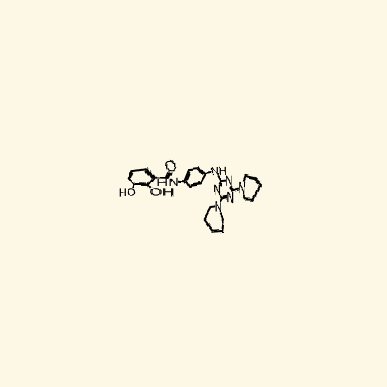 O=C(Nc1ccc(Nc2nc(N3CCCCC3)nc(N3CCCCC3)n2)cc1)c1cccc(O)c1O